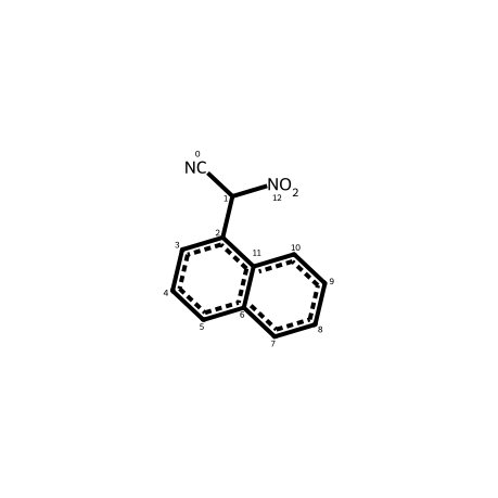 N#CC(c1cccc2ccccc12)[N+](=O)[O-]